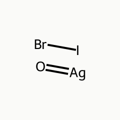 BrI.[O]=[Ag]